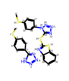 CSc1ccc(-c2nnn[nH]2)cc1.CSc1ccc(-n2nnnc2Sc2nc3ccccc3s2)cc1